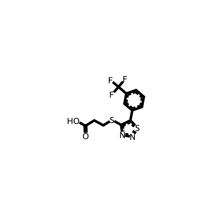 O=C(O)CCSc1nnsc1-c1cccc(C(F)(F)F)c1